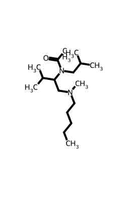 CCCCCN(C)CC(C(C)C)N(CC(C)C)C(C)=O